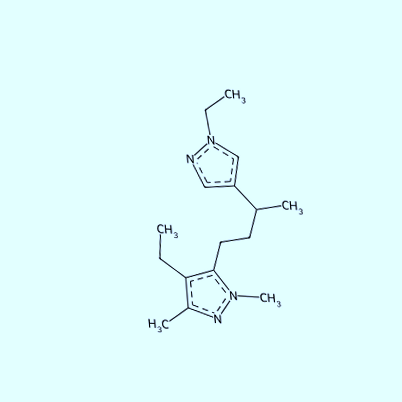 CCc1c(C)nn(C)c1CCC(C)c1cnn(CC)c1